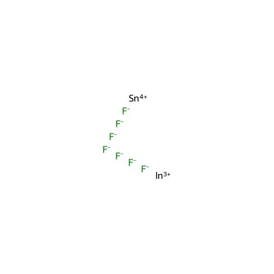 [F-].[F-].[F-].[F-].[F-].[F-].[F-].[In+3].[Sn+4]